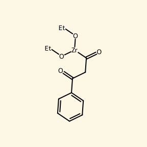 CC[O][Zr]([O]CC)[C](=O)CC(=O)c1ccccc1